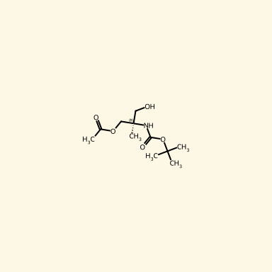 CC(=O)OC[C@@](C)(CO)NC(=O)OC(C)(C)C